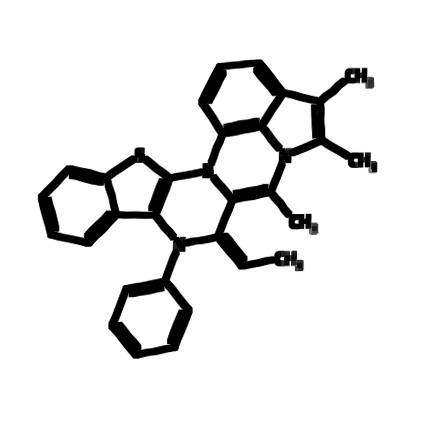 C/C=C1\C2=C(C)n3c(C)c(C)c4cccc(c43)B2c2sc3ccccc3c2N1c1ccccc1